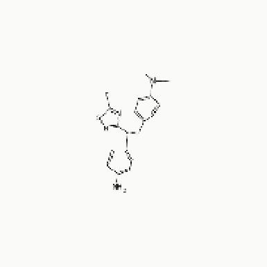 CN(C)c1ccc(CC(c2ccc(N)cc2)c2nsc(Cl)n2)cc1